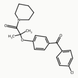 CC(C)(Oc1ccc(C(=O)c2ccc(Cl)cc2)cc1)C(=O)N1CCCCC1